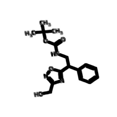 CC(C)(C)OC(=O)NCC(c1ccccc1)c1nc(CO)no1